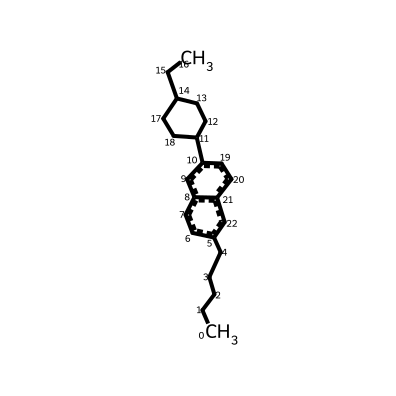 CCCCCc1ccc2cc(C3CCC(CC)CC3)ccc2c1